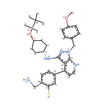 COc1ccc(Cn2nc(N[C@H]3CC[C@H](O[Si](C)(C)C(C)(C)C)CC3)c3c(-c4ccc(CN)c(F)c4)ccnc32)cc1